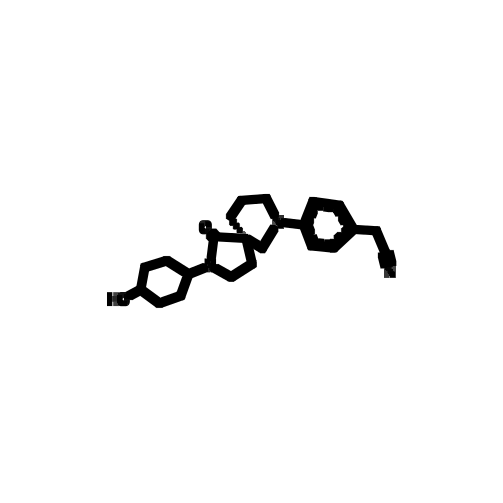 N#CCc1ccc(N2CCC[C@@]3(CCN(C4CCC(O)CC4)C3=O)C2)cc1